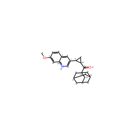 COc1ccc2cc(C3CC3C(=O)C34CC5CC(CC(C5)C3)C4)cnc2c1